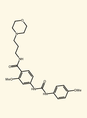 COc1ccc(NC(=O)Nc2ccc(C(=O)NCCCN3CCOCC3)c(OC)c2)cc1